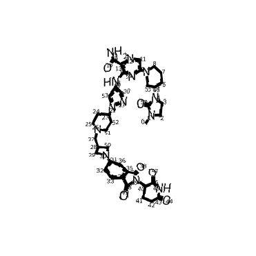 CN1CCN([C@H]2CCCN(c3cnc(C(N)=O)c(Nc4cnn(C5CCN(CC6CN(c7ccc8c(c7)C(=O)N(C7CCC(=O)NC7=O)C8=O)C6)CC5)c4)n3)C2)C1=O